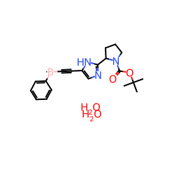 CC(C)(C)OC(=O)N1CCCC1c1ncc(C#C[B]c2ccccc2)[nH]1.O.O